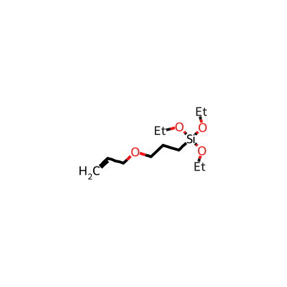 C=CCOCCC[Si](OCC)(OCC)OCC